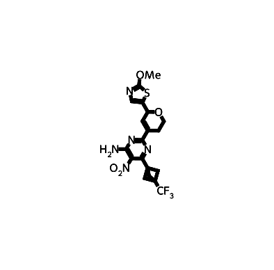 COc1ncc(C2C=C(c3nc(N)c([N+](=O)[O-])c(C45CC(C(F)(F)F)(C4)C5)n3)CCO2)s1